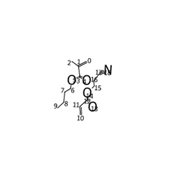 C=C(C)C(=O)OCCCC.C=CC(=O)OCCC#N